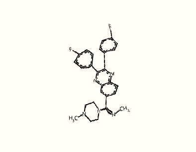 C/N=C(\c1ccc2nc(-c3ccc(F)cc3)c(-c3ccc(F)cc3)nc2c1)N1CCN(C)CC1